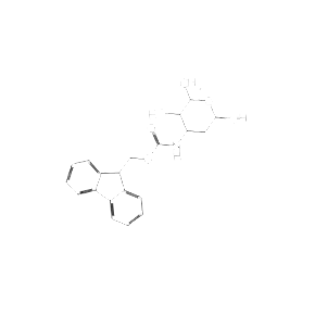 CC1OC(O)CC(NC(=O)OCC2c3ccccc3-c3ccccc32)C1O